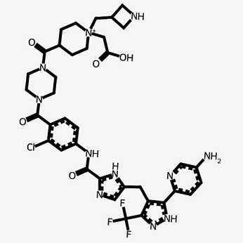 Nc1ccc(-c2[nH]nc(C(F)(F)F)c2Cc2cnc(C(=O)Nc3ccc(C(=O)N4CCN(C(=O)C5CC[N+](CC(=O)O)(CC6CNC6)CC5)CC4)c(Cl)c3)[nH]2)nc1